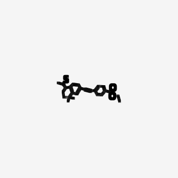 CCOC(=O)c1ccc(C#Cc2ccc3c(c2)C(C)(C)CCC3C(C)=S)cc1